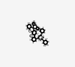 c1ccc(-c2cc(-c3cccc4oc5c6c(ccc5c34)C3(c4ccccc4O6)c4ccccc4-c4ccccc43)nc(-c3ccccc3)n2)cc1